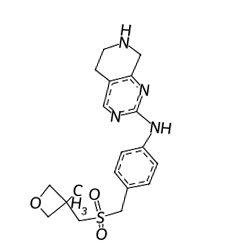 CC1(CS(=O)(=O)Cc2ccc(Nc3ncc4c(n3)CNCC4)cc2)COC1